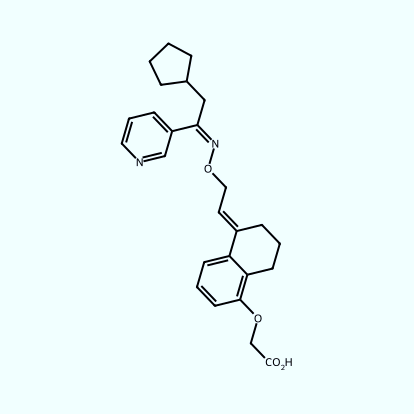 O=C(O)COc1cccc2c1CCCC2=CCON=C(CC1CCCC1)c1cccnc1